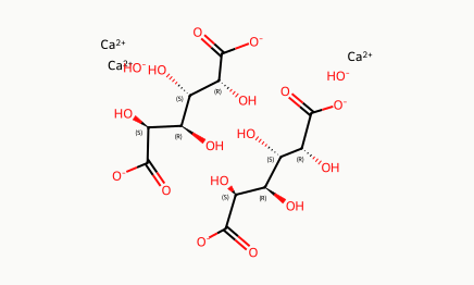 O=C([O-])[C@@H](O)[C@H](O)[C@H](O)[C@@H](O)C(=O)[O-].O=C([O-])[C@@H](O)[C@H](O)[C@H](O)[C@@H](O)C(=O)[O-].[Ca+2].[Ca+2].[Ca+2].[OH-].[OH-]